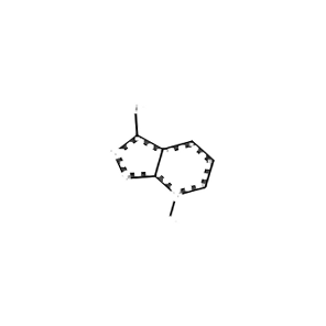 CC(C)c1nnc2n(C(C)C)cccc1-2